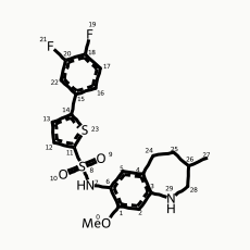 COc1cc2c(cc1NS(=O)(=O)c1ccc(-c3ccc(F)c(F)c3)s1)CCC(C)CN2